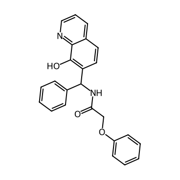 O=C(COc1ccccc1)NC(c1ccccc1)c1ccc2cccnc2c1O